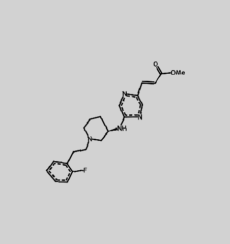 COC(=O)/C=C/c1cnc(N[C@@H]2CCCN(CCc3ccccc3F)C2)cn1